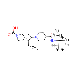 [2H]C([2H])([2H])C1(NC(=O)C2CCN(C3C[C@@]4(CCN(C(=O)O)C4)C3CC)CC2)C([2H])([2H])C([2H])([2H])C1([2H])[2H]